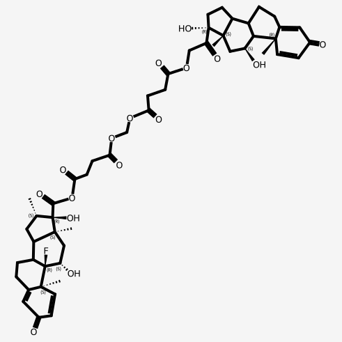 C[C@H]1CC2C3CCC4=CC(=O)C=C[C@]4(C)[C@@]3(F)[C@@H](O)C[C@]2(C)[C@@]1(O)C(=O)OC(=O)CCC(=O)OCOC(=O)CCC(=O)OCC(=O)[C@@]1(O)CCC2C3CCC4=CC(=O)C=C[C@]4(C)C3[C@@H](O)C[C@@]21C